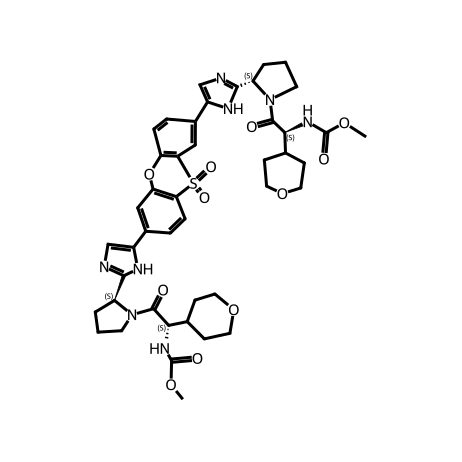 COC(=O)N[C@H](C(=O)N1CCC[C@H]1c1ncc(-c2ccc3c(c2)Oc2ccc(-c4cnc([C@@H]5CCCN5C(=O)[C@@H](NC(=O)OC)C5CCOCC5)[nH]4)cc2S3(=O)=O)[nH]1)C1CCOCC1